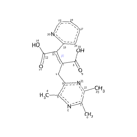 Cc1nc(C)c(C/C(C(=O)O)=C(\C(=O)O)c2ccccn2)nc1C